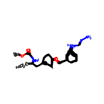 CC(C)(C)OC(=O)NC(Cc1ccc(OCc2cccc(NC=NN)c2)cc1)C(=O)O